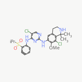 COc1c(Nc2ncc(Cl)c(Nc3ccc#cc3S(=O)(=O)C(C)C)n2)cc2c(c1Cl)C(C)(C)NCC2